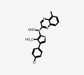 Cc1cccc2nc(N(C=O)c3scc(-c4ccc(Cl)cc4)c3C(=O)O)cnc12